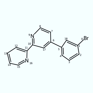 Brc1cccc(-c2ccnc(-c3ccccn3)c2)c1